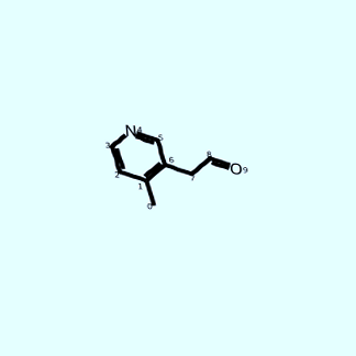 Cc1ccncc1CC=O